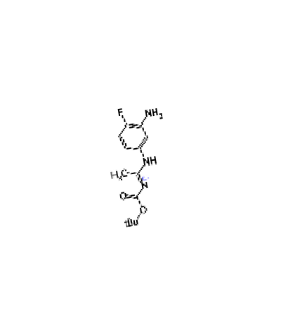 C/C(=N\C(=O)OC(C)(C)C)Nc1ccc(F)c(N)c1